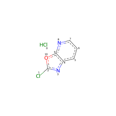 Cl.Clc1nc2cccnc2o1